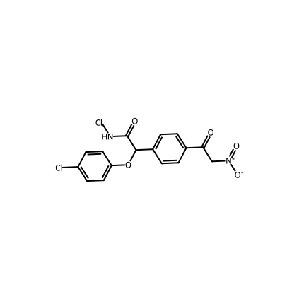 O=C(C[N+](=O)[O-])c1ccc(C(Oc2ccc(Cl)cc2)C(=O)NCl)cc1